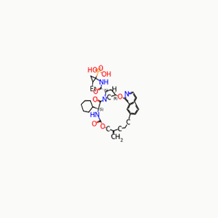 C=C1CCCc2ccc3ccnc(c3c2)O[C@@H]2C[C@@H](C(=O)NC3(P(=O)(O)O)CC3CC)N(C2)C(=O)[C@H](C2CCCCC2)NC(=O)OC1